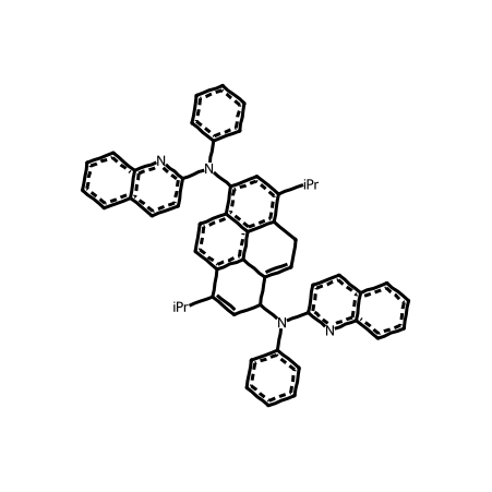 CC(C)C1=CC(N(c2ccccc2)c2ccc3ccccc3n2)C2=CCc3c(C(C)C)cc(N(c4ccccc4)c4ccc5ccccc5n4)c4ccc1c2c34